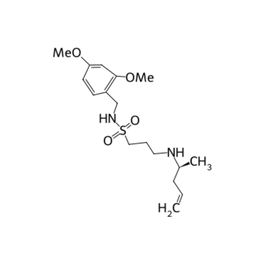 C=CC[C@H](C)NCCCS(=O)(=O)NCc1ccc(OC)cc1OC